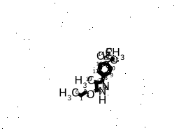 CCCOC1NN=C(c2ccc(S(C)(=O)=O)cc2)C1C